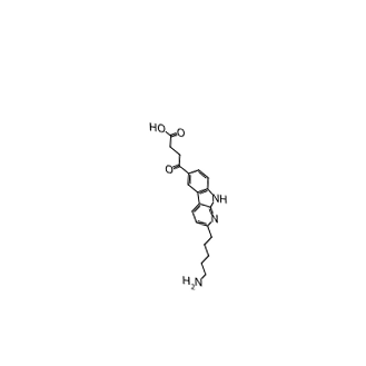 NCCCCCc1ccc2c(n1)[nH]c1ccc(C(=O)CCC(=O)O)cc12